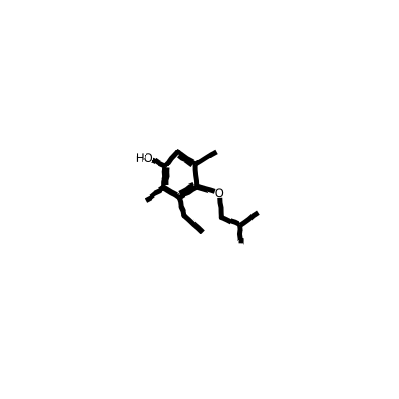 CCc1c(C)c(O)cc(C)c1OCC(C)C